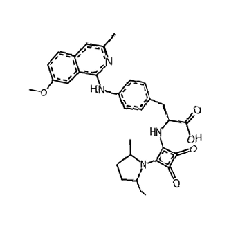 COc1ccc2cc(C)nc(Nc3ccc(C[C@H](Nc4c(N5C(C)CCC5C)c(=O)c4=O)C(=O)O)cc3)c2c1